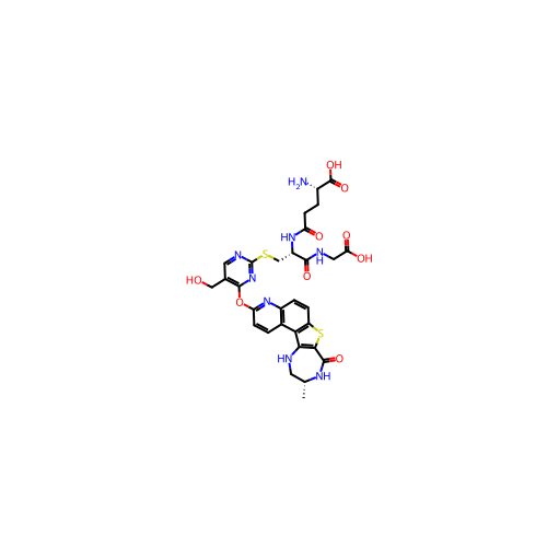 C[C@@H]1CNc2c(sc3ccc4nc(Oc5nc(SC[C@H](NC(=O)CC[C@H](N)C(=O)O)C(=O)NCC(=O)O)ncc5CO)ccc4c23)C(=O)N1